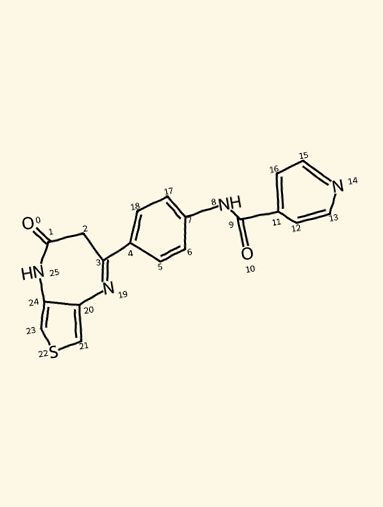 O=C1CC(c2ccc(NC(=O)c3ccncc3)cc2)=Nc2cscc2N1